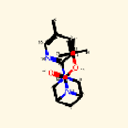 Cc1ccc(N2CC3CC(C2)N3C(=O)OC(C)(C)C)nc1